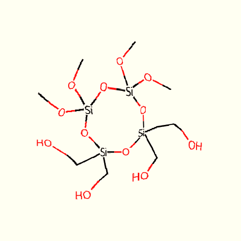 CO[Si]1(OC)O[Si](CO)(CO)O[Si](CO)(CO)O[Si](OC)(OC)O1